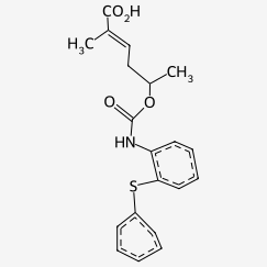 CC(=CCC(C)OC(=O)Nc1ccccc1Sc1ccccc1)C(=O)O